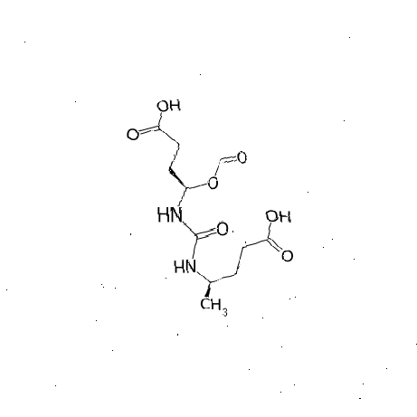 C[C@H](CCC(=O)O)NC(=O)N[C@@H](CCC(=O)O)OC=O